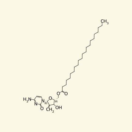 C=C1C(O)[C@@H](COC(=O)CCCCCCCCCCCCCCCCCCCCC)O[C@H]1n1ccc(N)nc1=O